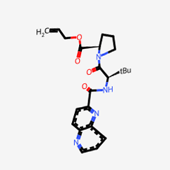 C=CCOC(=O)[C@H]1CCCN1C(=O)[C@H](NC(=O)c1ccc2ncccc2n1)C(C)(C)C